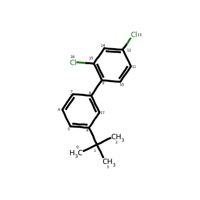 CC(C)(C)c1cc[c]c(-c2ccc(Cl)cc2Cl)c1